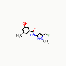 Cc1cc(O)cc(C(=O)Nc2cc(CF)n(C)n2)c1